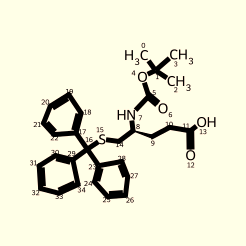 CC(C)(C)OC(=O)N[C@@H](CCC(=O)O)CSC(c1ccccc1)(c1ccccc1)c1ccccc1